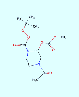 COC(=O)OC1CN(C(C)=O)CCN1C(=O)OOC(C)(C)C